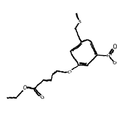 CCOC(=O)CCCOc1cc(CSC)cc([N+](=O)[O-])c1